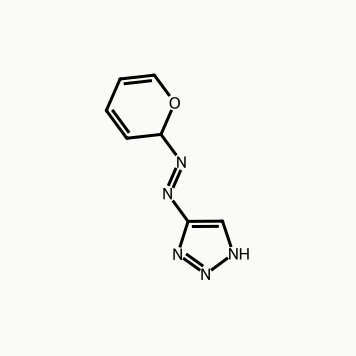 C1=COC(N=Nc2c[nH]nn2)C=C1